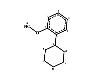 N#COc1ccccc1C1CCCCC1